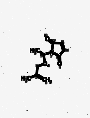 C=C(C)COC(C)N1C(=O)C=CC1=O